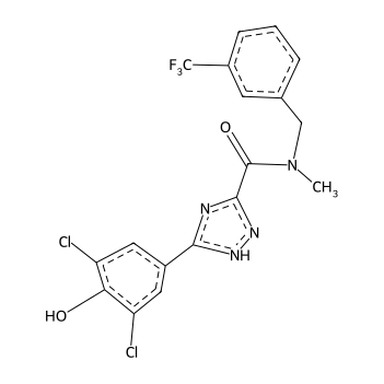 CN(Cc1cccc(C(F)(F)F)c1)C(=O)c1n[nH]c(-c2cc(Cl)c(O)c(Cl)c2)n1